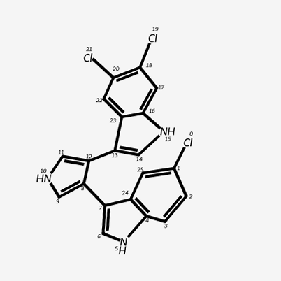 Clc1ccc2[nH]cc(-c3c[nH]cc3-c3c[nH]c4cc(Cl)c(Cl)cc34)c2c1